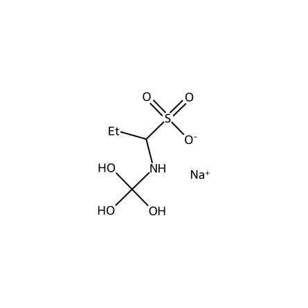 CCC(NC(O)(O)O)S(=O)(=O)[O-].[Na+]